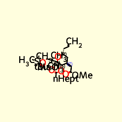 C=CC[C@@H]1C/C(=C/C(=O)OC)[C@H](OC(=O)CCCCCCC)[C@](OC)(C(C)(C)CO[Si](C)(C)C(C)(C)C)O1